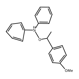 COc1ccc(C(C)O[SiH](c2ccccc2)c2ccccc2)cc1